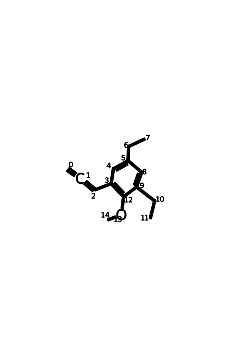 C=C=Cc1cc(CC)cc(CC)c1OC